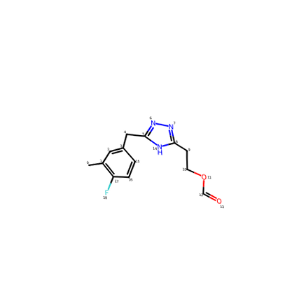 Cc1cc(Cc2nnc(CCOC=O)[nH]2)ccc1F